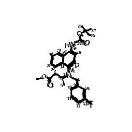 COC(=O)C[C@H](C)N(Cc1cccc(F)c1)c1ccc(NC(=O)OC(C)(C)C)c2ccccc12